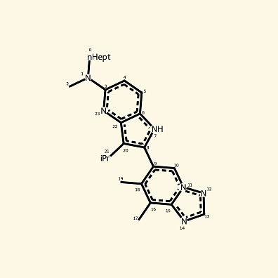 CCCCCCCN(C)c1ccc2[nH]c(-c3cn4ncnc4c(C)c3C)c(C(C)C)c2n1